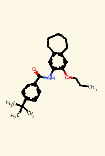 CCCOc1cc2c(cc1NC(=O)c1ccc(C(C)(C)C)cc1)CCCCC2